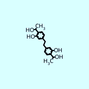 CC(O)c1ccc(CCc2ccc(C(C)O)c(O)c2)cc1O